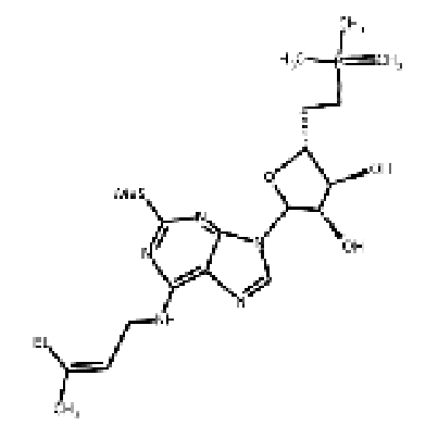 C=P(C)(C)CC[C@H]1OC(n2cnc3c(NC/C=C(/C)CC)nc(SC)nc32)[C@H](O)[C@@H]1O